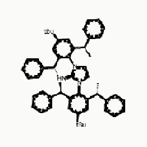 C[C@H](c1ccccc1)c1cc(C(C)(C)C)cc([C@H](C)c2ccccc2)c1-n1ccn(-c2c([C@H](C)c3ccccc3)cc(C(C)(C)C)cc2[C@H](C)c2ccccc2)c1=N